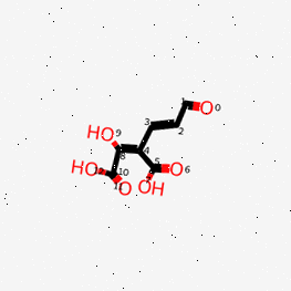 O=CC=CC(C(=O)O)=C(O)C(=O)O